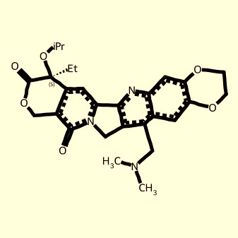 CC[C@@]1(OC(C)C)C(=O)OCc2c1cc1n(c2=O)Cc2c-1nc1cc3c(cc1c2CN(C)C)OCCO3